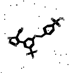 CS(=O)(=O)c1ccc(COc2cc(-c3nn[nH]c3C#N)cc(C(F)(F)F)c2)cc1